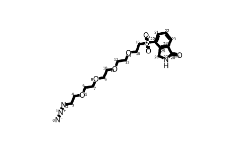 [N-]=[N+]=NCCOCCOCCOCCOCCS(=O)(=O)c1cccc2c1CNC2=O